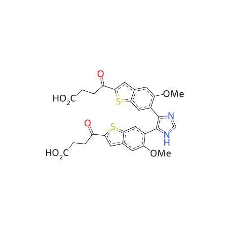 COc1cc2cc(C(=O)CCC(=O)O)sc2cc1-c1nc[nH]c1-c1cc2sc(C(=O)CCC(=O)O)cc2cc1OC